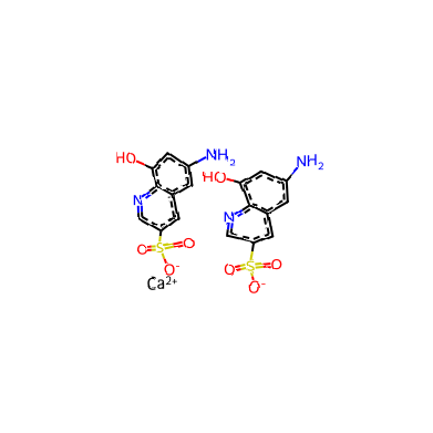 Nc1cc(O)c2ncc(S(=O)(=O)[O-])cc2c1.Nc1cc(O)c2ncc(S(=O)(=O)[O-])cc2c1.[Ca+2]